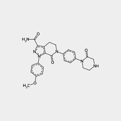 COc1ccc(-n2nc(C(N)=O)c3c2C(=O)N(c2ccc(N4CCNCC4=O)cc2)CC3)cc1